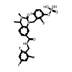 CC1c2ccc(C(=O)NCc3c(F)cc(F)cc3F)cc2N(Cc2c(F)ccc(OP(=O)(O)O)c2F)C(=O)N1C